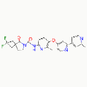 Cc1cc(-c2cc(Oc3ccc(NC(=O)N4CCC5(CC(F)(F)C5)C4=O)nc3C)ccn2)ccn1